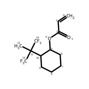 C=CC(=O)OC1CCCCC1C(C)(C(F)(F)F)C(F)(F)F